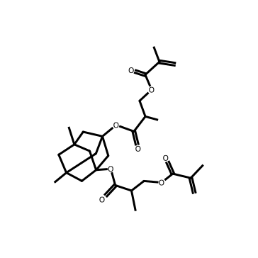 C=C(C)C(=O)OCC(C)C(=O)OC12CC3(C)CC(C)(C1)CC(OC(=O)C(C)COC(=O)C(=C)C)(C3)C2